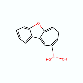 OB(O)C1=CCC=c2oc3ccccc3c2=C1